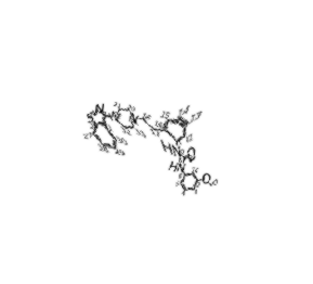 COc1cccc(NC(=O)Nc2ccccc2CCN2CCN(c3nsc4ccccc34)CC2)c1